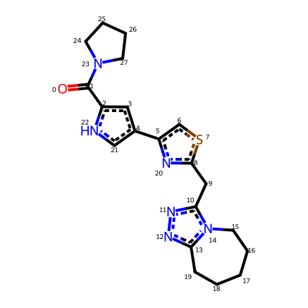 O=C(c1cc(-c2csc(Cc3nnc4n3CCCCC4)n2)c[nH]1)N1CCCC1